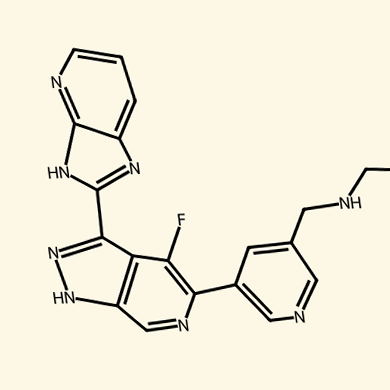 CCNCc1cncc(-c2ncc3[nH]nc(-c4nc5cccnc5[nH]4)c3c2F)c1